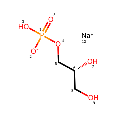 O=P([O-])(O)OC[C@H](O)CO.[Na+]